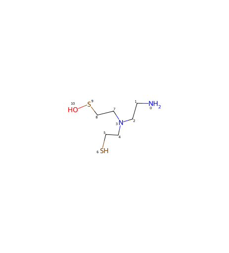 NCCN(CCS)CCSO